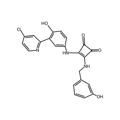 O=c1c(NCc2cccc(O)c2)c(Nc2ccc(O)c(-c3cc(Cl)ccn3)c2)c1=O